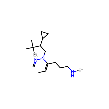 C=NN(CC(C1CC1)C(C)(C)CC)/C(=C\C)CCCNCC